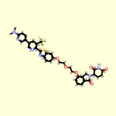 CN(C)c1ccc(-c2cnc(-c3nc4ccc(OCCOCCOc5cccc6c5CN(C5CCC(=O)NC5=O)C6=O)cc4s3)c(C(F)(F)F)c2)cn1